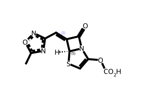 Cc1nc(/C=C2/C(=O)N3C(OC(=O)O)=CS[C@@H]23)no1